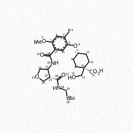 COc1cc(F)c(O[C@H]2CC[C@@](CO)(C(=O)O)CC2)cc1C(=O)NC1COC[C@H]1C(=O)NCC(C)(C)C